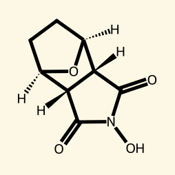 O=C1[C@@H]2[C@H](C(=O)N1O)[C@H]1CC[C@@H]2O1